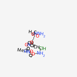 COc1cc(C(=O)N(C)c2ccc(C)cc2OCCCCCC(=O)N(C)C(N)=O)ccc1NC(=O)c1ccccc1OCCCN.Cl